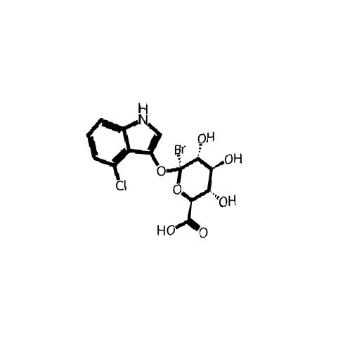 O=C(O)[C@H]1O[C@@](Br)(Oc2c[nH]c3cccc(Cl)c23)[C@H](O)[C@@H](O)[C@@H]1O